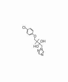 CC(C)(COc1ccc(Cl)cc1)C(O)(O)Cn1cncn1